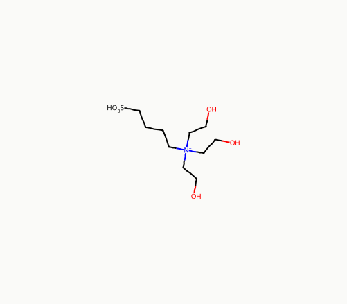 O=S(=O)(O)CCCC[N+](CCO)(CCO)CCO